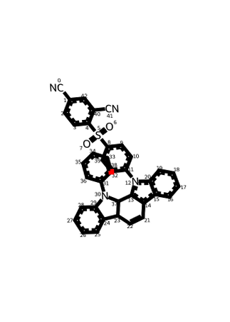 N#Cc1ccc(S(=O)(=O)c2ccc(-n3c4c(c5ccccc53)C=CC3c5ccccc5N(c5ccccc5)C43)cc2)c(C#N)c1